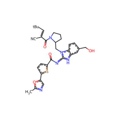 Cc1ncc(-c2ccc(C(=O)N=c3[nH]c4cc(CO)ccc4n3CC3CCCN3C(=O)C(C#N)=CC(C)(C)C)s2)o1